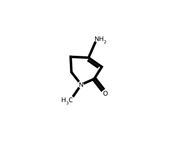 CN1CCC(N)=CC1=O